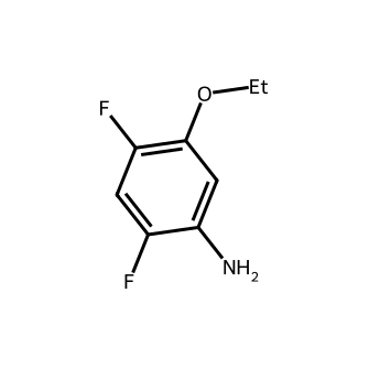 CCOc1cc(N)c(F)cc1F